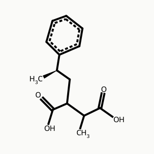 CC(C(=O)O)C(C[C@@H](C)c1ccccc1)C(=O)O